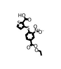 CCOOC(=O)c1ccc(Sc2ccsc2C(=O)O)c([N+](=O)[O-])c1